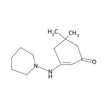 CC1(C)CC(=O)C=C(NN2CCCCC2)C1